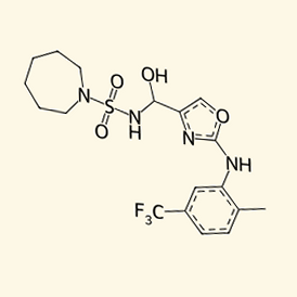 Cc1ccc(C(F)(F)F)cc1Nc1nc(C(O)NS(=O)(=O)N2CCCCCC2)co1